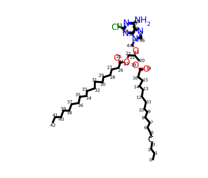 CCCCCCCCCCCCCCCCCC(=O)OCC(COC(=O)CCCCCCCCCCCCCCCCC)OCn1cnc2c(N)nc(Cl)nc21